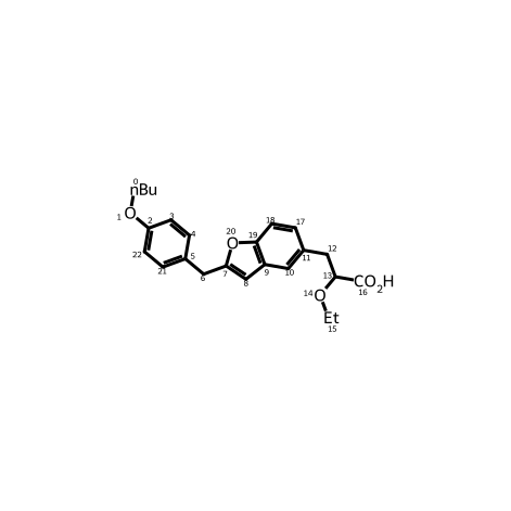 CCCCOc1ccc(Cc2cc3cc(CC(OCC)C(=O)O)ccc3o2)cc1